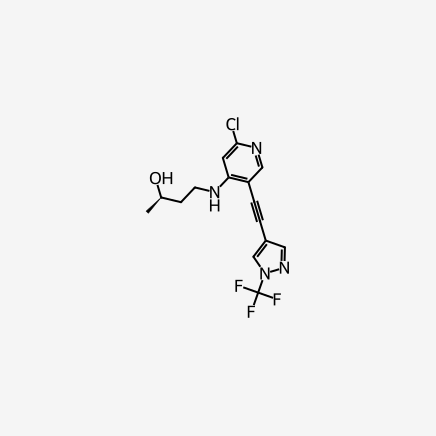 C[C@@H](O)CCNc1cc(Cl)ncc1C#Cc1cnn(C(F)(F)F)c1